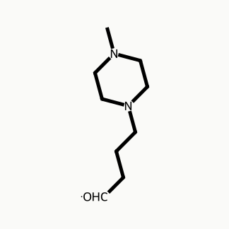 CN1CCN(CCC[C]=O)CC1